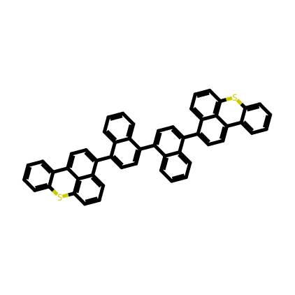 c1ccc2c(c1)Sc1cccc3c(-c4ccc(-c5ccc(-c6ccc7c8c(cccc68)Sc6ccccc6-7)c6ccccc56)c5ccccc45)ccc-2c13